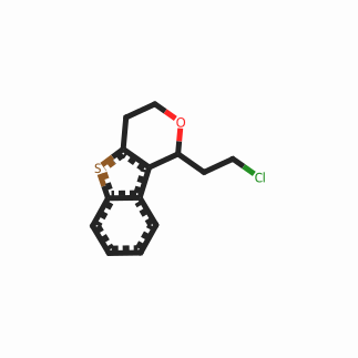 ClCCC1OCCc2sc3ccccc3c21